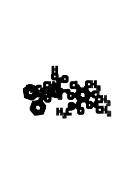 COC(=O)c1c(OC[C@H]2C[C@@H](O[Si](c3ccccc3)(c3ccccc3)C(C)(C)C)CN2C(=O)O)c(Cl)c(C)c(Cl)c1OC(C)C